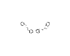 O=C(Nc1ccc(Oc2ccc(CCNCc3ccccc3)cc2)cc1)c1cnc2ccccc2n1